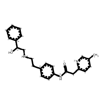 Cc1ccc(CC(=O)Nc2ccc(CCNCC(O)c3ccccc3)cc2)nc1